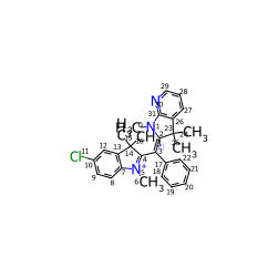 CN1/C(=C(\C2=[N+](C)c3ccc(Cl)cc3C2(C)C)c2ccccc2)C(C)(C)c2cccnc21